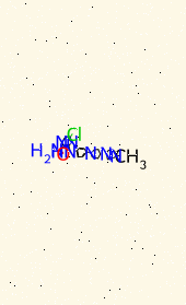 CN1CCN(C2CCN(c3ccc(Nc4nc(Cl)cnc4C(N)=O)cc3)CC2)CC1